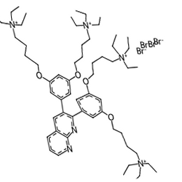 CC[N+](CC)(CC)CCCCOc1cc(OCCCC[N+](CC)(CC)CC)cc(-c2cc3cccnc3nc2-c2cc(OCCCC[N+](CC)(CC)CC)cc(OCCCC[N+](CC)(CC)CC)c2)c1.[Br-].[Br-].[Br-].[Br-]